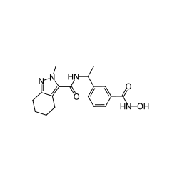 CC(NC(=O)c1c2c(nn1C)CCCC2)c1cccc(C(=O)NO)c1